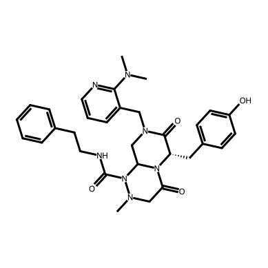 CN(C)c1ncccc1CN1CC2N(C(=O)CN(C)N2C(=O)NCCc2ccccc2)[C@@H](Cc2ccc(O)cc2)C1=O